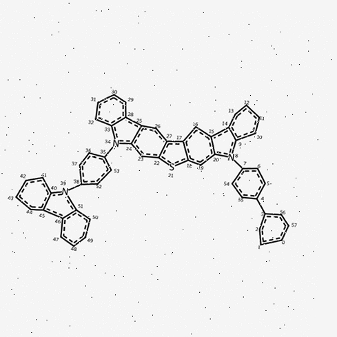 c1ccc(-c2ccc(-n3c4ccccc4c4cc5c(cc43)sc3cc4c(cc35)c3ccccc3n4-c3ccc(-n4c5ccccc5c5ccccc54)cc3)cc2)cc1